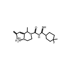 C=C(N)/C=C1/C(C)N(C(=O)NC(=N)C2CCC(C)(F)CC2)CCN1N